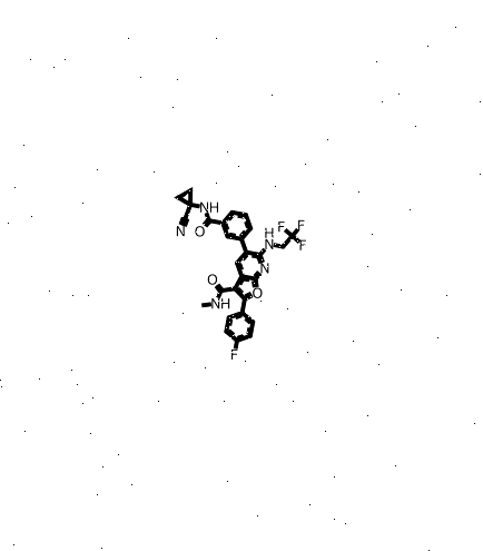 CNC(=O)c1c(-c2ccc(F)cc2)oc2nc(NCC(F)(F)F)c(-c3cccc(C(=O)NC4(C#N)CC4)c3)cc12